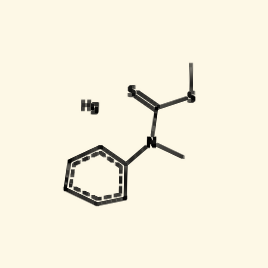 CSC(=S)N(C)c1ccccc1.[Hg]